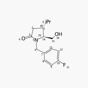 CC(C)[C@H]1CC(=O)N(Cc2ccc(F)cc2)[C@@H]1CO